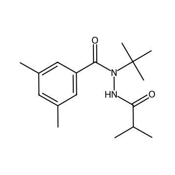 Cc1cc(C)cc(C(=O)N(NC(=O)C(C)C)C(C)(C)C)c1